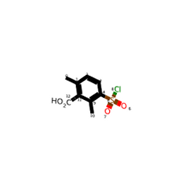 Cc1ccc(S(=O)(=O)Cl)c(C)c1C(=O)O